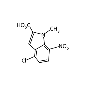 Cn1c(C(=O)O)cc2c(Cl)ccc([N+](=O)[O-])c21